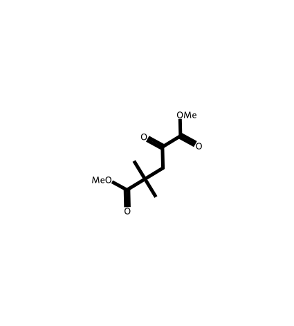 COC(=O)C(=O)CC(C)(C)C(=O)OC